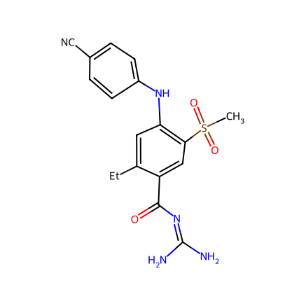 CCc1cc(Nc2ccc(C#N)cc2)c(S(C)(=O)=O)cc1C(=O)N=C(N)N